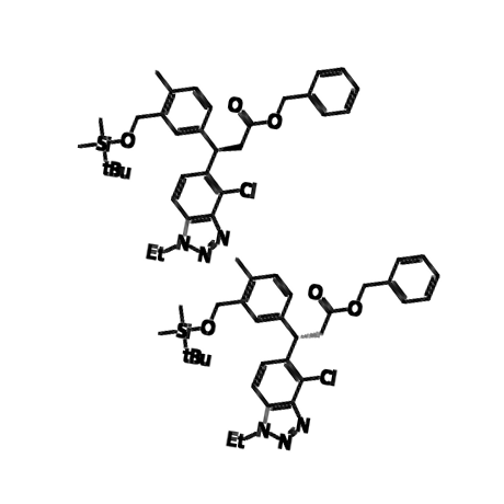 CCn1nnc2c(Cl)c([C@@H](CC(=O)OCc3ccccc3)c3ccc(C)c(CO[Si](C)(C)C(C)(C)C)c3)ccc21.CCn1nnc2c(Cl)c([C@H](CC(=O)OCc3ccccc3)c3ccc(C)c(CO[Si](C)(C)C(C)(C)C)c3)ccc21